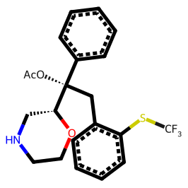 CC(=O)O[C@@](Cc1ccccc1SC(F)(F)F)(c1ccccc1)[C@H]1CNCCO1